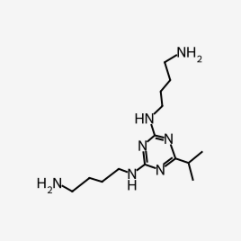 CC(C)c1nc(NCCCCN)nc(NCCCCN)n1